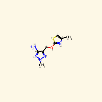 Cc1csc(OCc2nn(C)nc2N)n1